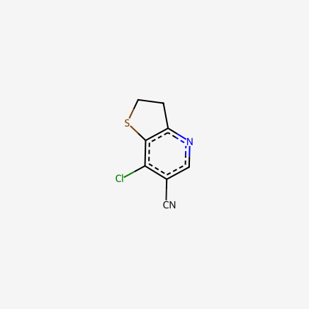 N#Cc1cnc2c(c1Cl)SCC2